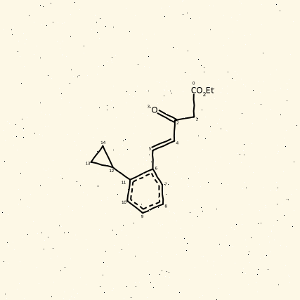 CCOC(=O)CC(=O)C=Cc1ccccc1C1CC1